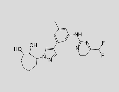 Cc1cc(Nc2nccc(C(F)F)n2)cc(-c2cnn(C3CCCCC(O)C3O)c2)c1